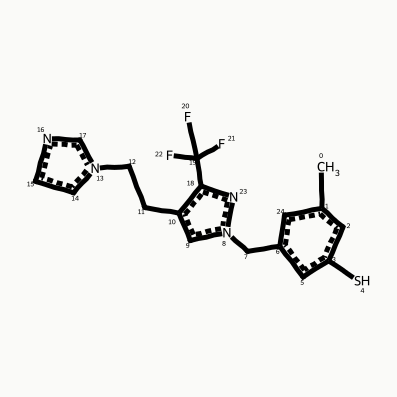 Cc1cc(S)cc(Cn2cc(CCn3ccnc3)c(C(F)(F)F)n2)c1